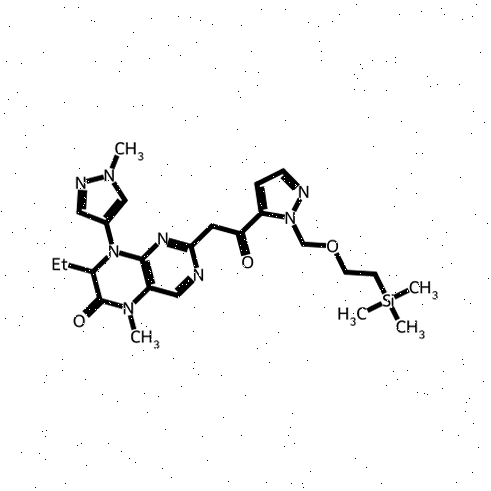 CCC1C(=O)N(C)c2cnc(CC(=O)c3ccnn3COCC[Si](C)(C)C)nc2N1c1cnn(C)c1